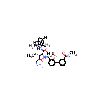 CC[C@H]1[C@H](CN)ON(Cc2cccc(-c3cccc(C(=O)NC)c3)c2OC)[C@@H]1C(=O)N[C@H]1C[C@H]2C[C@@H]([C@@H]1C)C2(C)C